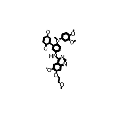 COCCOc1cc2ncnc(Nc3ccc(N(C)c4ccc(OC)c(OC)c4)c(C4=CC(=O)C=CC4=O)c3)c2cc1OC